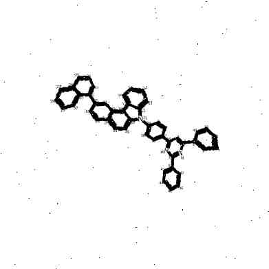 c1ccc(-c2cc(-c3ccc(-n4c5ccccc5c5c6cc(-c7cccc8ccccc78)ccc6ccc54)cc3)nc(-c3ccccc3)n2)cc1